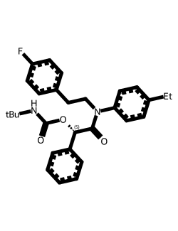 CCc1ccc(N(CCc2ccc(F)cc2)C(=O)[C@@H](OC(=O)NC(C)(C)C)c2ccccc2)cc1